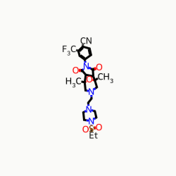 CCS(=O)(=O)N1CCN(CCN2CC3(C)OC(C)(C2)C2C(=O)N(c4ccc(C#N)c(C(F)(F)F)c4)C(=O)C23)CC1